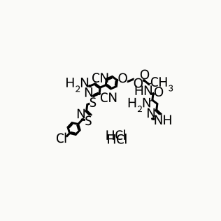 C[C@H](NC(=O)[C@@H](N)Cc1c[nH]cn1)C(=O)OCCOc1ccc(-c2c(C#N)c(N)nc(SCc3csc(-c4ccc(Cl)cc4)n3)c2C#N)cc1.Cl.Cl